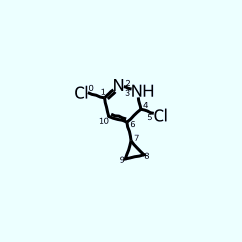 ClC1=NNC(Cl)C(C2CC2)=C1